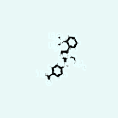 CCn1c(-c2ccccc2N(C)C)cs/c1=N\c1ccc(C(=O)O)cc1